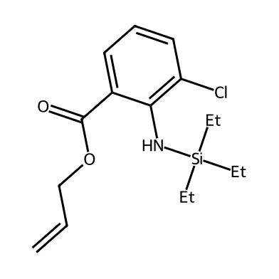 C=CCOC(=O)c1cccc(Cl)c1N[Si](CC)(CC)CC